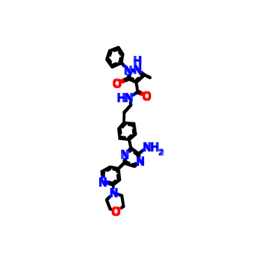 Cc1[nH]n(-c2ccccc2)c(=O)c1C(=O)NCCc1ccc(-c2nc(-c3ccnc(N4CCOCC4)c3)cnc2N)cc1